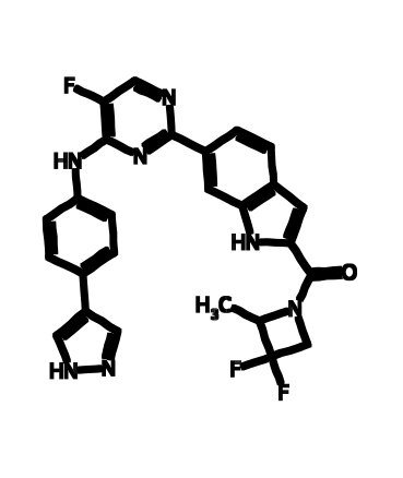 CC1N(C(=O)c2cc3ccc(-c4ncc(F)c(Nc5ccc(-c6cn[nH]c6)cc5)n4)cc3[nH]2)CC1(F)F